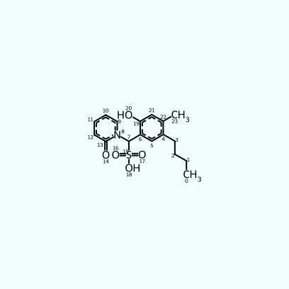 CCCCc1cc(C(n2ccccc2=O)S(=O)(=O)O)c(O)cc1C